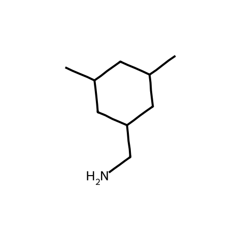 CC1CC(C)CC(CN)C1